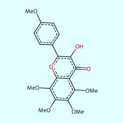 COc1ccc(-c2oc3c(OC)c(OC)c(OC)c(OC)c3c(=O)c2O)cc1